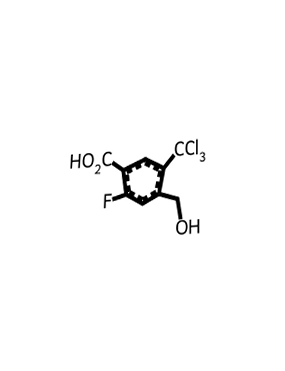 O=C(O)c1cc(C(Cl)(Cl)Cl)c(CO)cc1F